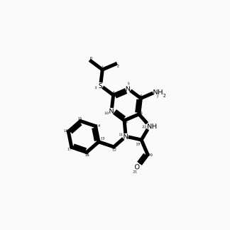 CC(C)Sc1nc(N)c2c(n1)N(Cc1ccccc1)C(C=O)N2